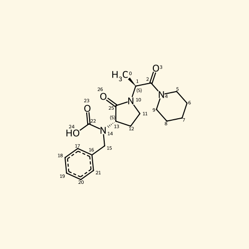 C[C@@H](C(=O)N1CCCCC1)N1CC[C@H](N(Cc2ccccc2)C(=O)O)C1=O